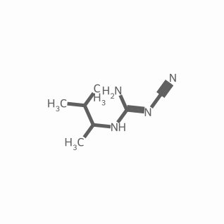 CC(C)C(C)N/C(N)=N/C#N